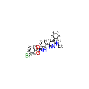 CCN(Cc1ccccc1)c1ccc(-c2cccc(NS(=O)(=O)c3cccc(Br)c3)c2)nn1